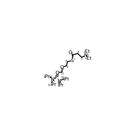 CCN(CC)CCC(=O)SCCOCOP(N(C(C)C)C(C)C)N(C(C)C)C(C)C